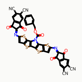 N#Cc1cc2c(=O)c(=Nc3cc4sc5c6sc7cc(N=c8c(=O)c9cc(C#N)c(C#N)cc9c8=O)sc7c6n(C(=O)OCc6ccccc6)c5c4s3)c(=O)c2cc1C#N